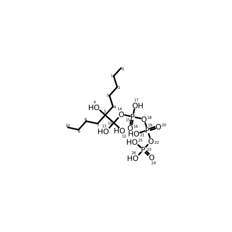 CCCCCC(O)(CCCC)C(O)(O)OP(=O)(O)OP(=O)(O)OP(=O)(O)O